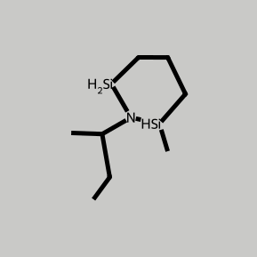 CCC(C)N1[SiH2]CCC[SiH]1C